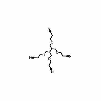 N#CCCOCC(COCCC#N)C(COCCC#N)COCCC#N